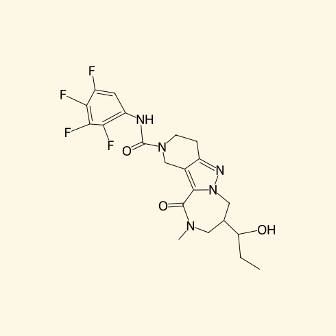 CCC(O)C1CN(C)C(=O)c2c3c(nn2C1)CCN(C(=O)Nc1cc(F)c(F)c(F)c1F)C3